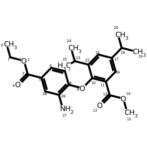 CCOC(=O)c1ccc(Oc2c(C(=O)OC)cc(C(C)C)cc2C(C)C)c(N)c1